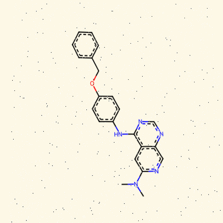 CN(C)c1cc2c(Nc3ccc(OCc4ccccc4)cc3)ncnc2cn1